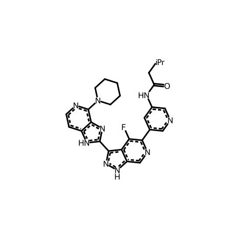 CC(C)CC(=O)Nc1cncc(-c2ncc3[nH]nc(-c4nc5c(N6CCCCC6)nccc5[nH]4)c3c2F)c1